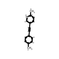 Cc1ccc(C#Cc2ccc(C)nc2)cc1